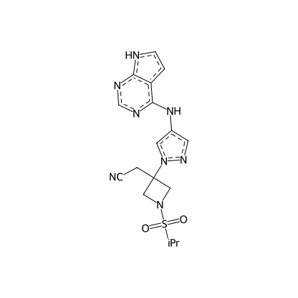 CC(C)S(=O)(=O)N1CC(CC#N)(n2cc(Nc3ncnc4[nH]ccc34)cn2)C1